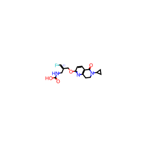 O=C(O)NC/C(=C\F)COc1ccc2c(n1)CCN(C1CC1)C2=O